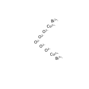 [Bi+3].[Bi+3].[Cu+2].[Cu+2].[O-2].[O-2].[O-2].[O-2].[O-2]